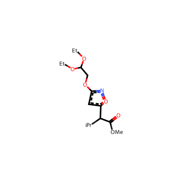 CCOC(COc1cc(C(C(=O)OC)C(C)C)on1)OCC